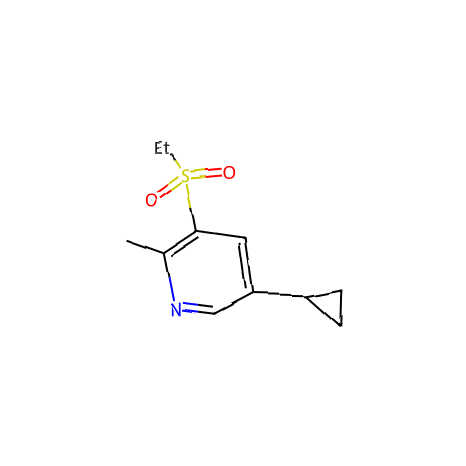 CCS(=O)(=O)c1cc(C2CC2)cnc1C